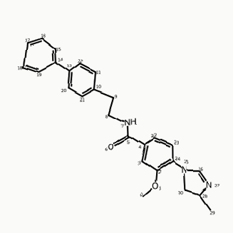 COc1cc(C(=O)NCCc2ccc(-c3ccccc3)cc2)ccc1N1C=NC(C)C1